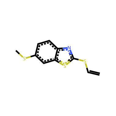 C=CSc1nc2ccc(SC)cc2s1